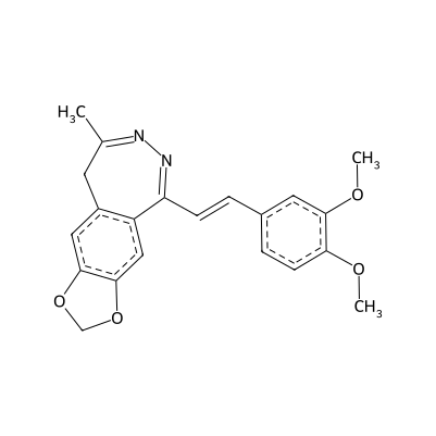 COc1ccc(C=CC2=NN=C(C)Cc3cc4c(cc32)OCO4)cc1OC